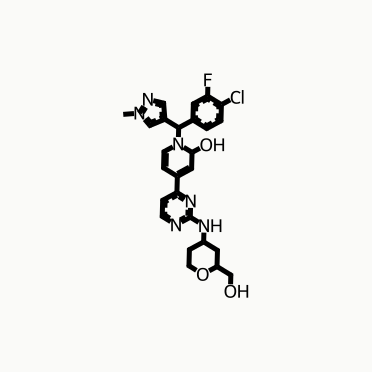 Cn1cc(C(c2ccc(Cl)c(F)c2)N2C=CC(c3ccnc(NC4CCOC(CO)C4)n3)=CC2O)cn1